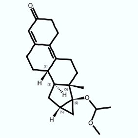 COC(C)O[C@@]12C[C@@H]1C[C@H]1[C@@H]3CCC4=CC(=O)CCC4=C3CC[C@@]12C